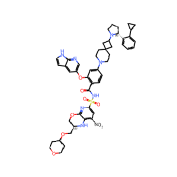 O=C(NS(=O)(=O)c1cc([N+](=O)[O-])c2c(n1)OC[C@H](COC1CCOCC1)N2)c1ccc(N2CCC3(CC2)CC(N2CCC[C@@H]2c2ccccc2C2CC2)C3)cc1Oc1cnc2[nH]ccc2c1